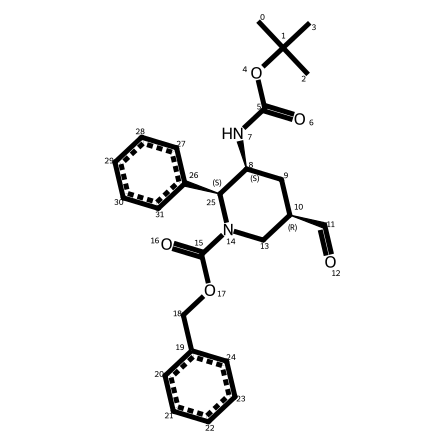 CC(C)(C)OC(=O)N[C@H]1C[C@@H](C=O)CN(C(=O)OCc2ccccc2)[C@H]1c1ccccc1